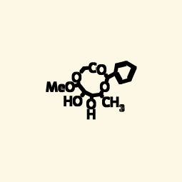 COC1OCCOC(c2ccccc2)OC(C)C(O)C1O